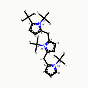 CC(C)(C)c1ccc(Cc2ccc(Cc3cccn3C(C)(C)C)n2C(C)(C)C)n1C(C)(C)C